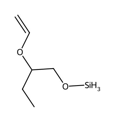 C=COC(CC)CO[SiH3]